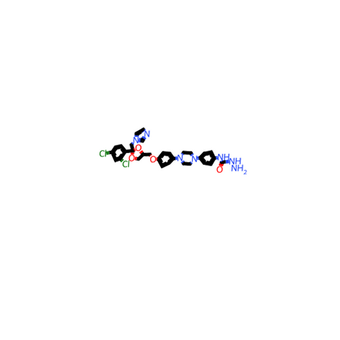 NNC(=O)Nc1ccc(N2CCN(c3ccc(OCC4COC(Cn5ccnc5)(c5ccc(Cl)cc5Cl)O4)cc3)CC2)cc1